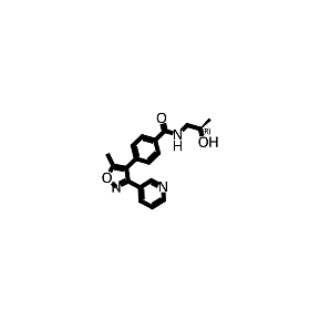 Cc1onc(-c2cccnc2)c1-c1ccc(C(=O)NC[C@@H](C)O)cc1